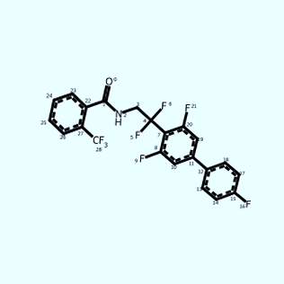 O=C(NCC(F)(F)c1c(F)cc(-c2ccc(F)cc2)cc1F)c1ccccc1C(F)(F)F